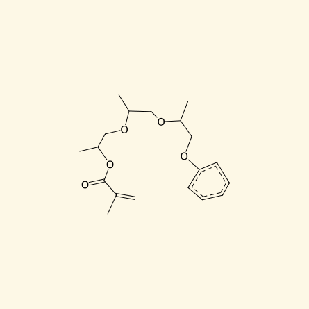 C=C(C)C(=O)OC(C)COC(C)COC(C)COc1ccccc1